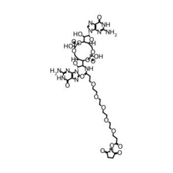 Nc1nc2c(ncn2[C@@H]2O[C@@H]3COP(=O)(O)OC4C(NC(=O)CCOCCOCCOCCOCCOCCC(=O)ON5C(=O)CCC5=O)[C@H](n5cnc6c(=O)[nH]c(N)nc65)O[C@@H]4COP(=O)(O)OC3C2O)c(=O)[nH]1